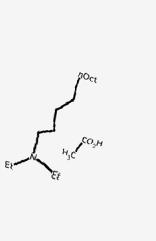 CC(=O)O.CCCCCCCCCCCCN(CC)CC